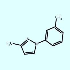 Cc1cc[c]c(-n2ccc(C(F)(F)F)n2)c1